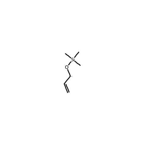 C=C[CH]O[Si](C)(C)C